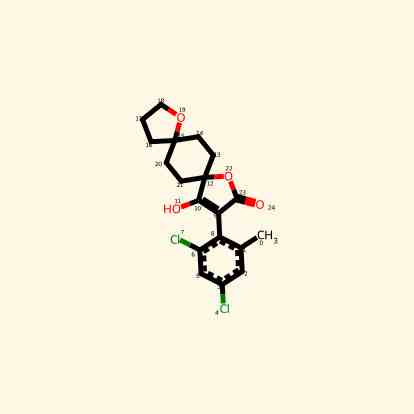 Cc1cc(Cl)cc(Cl)c1C1=C(O)C2(CCC3(CCCO3)CC2)OC1=O